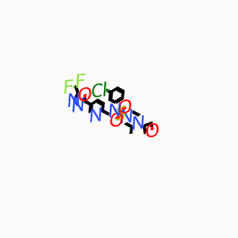 CC1CN(S(=O)(=O)N(Cc2ccc(-c3nnc(C(F)F)o3)cn2)c2cccc(Cl)c2)CCN1C1COC1